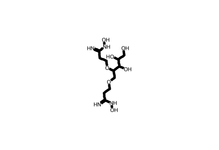 N=C(CCOCC(OCCC(=N)NO)C(O)C(O)CO)NO